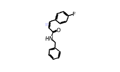 O=C(/C=C\c1ccc(F)cc1)NCc1ccccc1